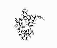 COc1ccc(C(OCc2nc3c(=O)[nH]cnc3n2CCO[Si](c2ccccc2)(c2ccccc2)C(C)(C)C)(c2ccccc2)c2ccc(OC)cc2)cc1